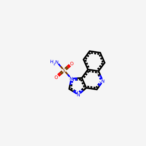 NS(=O)(=O)n1cnc2cnc3ccccc3c21